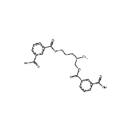 CC(CCCOC(=O)c1cccc(C(=O)O)c1)COC(=O)c1cccc(C(=O)O)c1